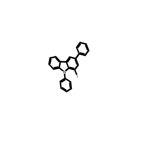 Ic1cc(-c2ccccc2)cc2c3ccccc3n(-c3ccccc3)c12